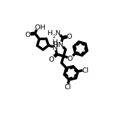 NC(=O)NCC(Cc1cc(Cl)cc(Cl)c1)(Oc1ccccc1)C(=O)NC1CCC(C(=O)O)C1